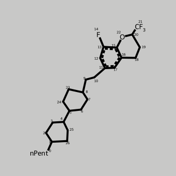 CCCCCC1CCC(C2CCC(CCc3cc(F)c4c(c3)CCC(C(F)(F)F)O4)CC2)CC1